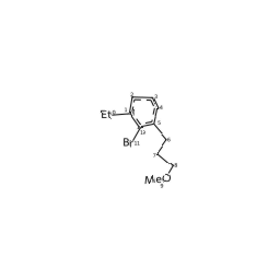 CCc1cccc(CCCOC)c1Br